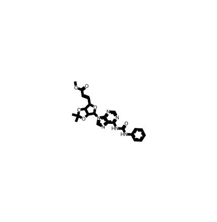 COC(=O)/C=C/C1OC(n2cnc3c(NC(=O)Nc4ccccc4)ncnc32)C2OC(C)(C)OC12